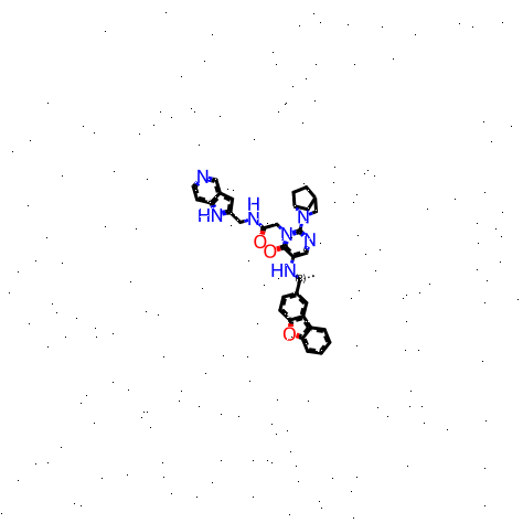 C[C@@H](Nc1cnc(N2CC3CCC2C3)n(CC(=O)NCc2cc3cnccc3[nH]2)c1=O)c1ccc2oc3ccccc3c2c1